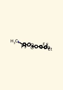 C/C=C/CCc1ccc(C2CCC(OC(=O)C3CCC(c4ccc(-c5ccc(OCC)c(F)c5F)cc4)CC3)CC2)c(F)c1F